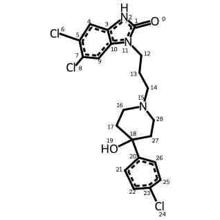 O=c1[nH]c2cc(Cl)c(Cl)cc2n1CCCN1CCC(O)(c2ccc(Cl)cc2)CC1